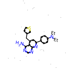 CCN(CC)c1ccc(-c2cc(Cc3ccsc3)c3c(N)ncnc3n2)cc1